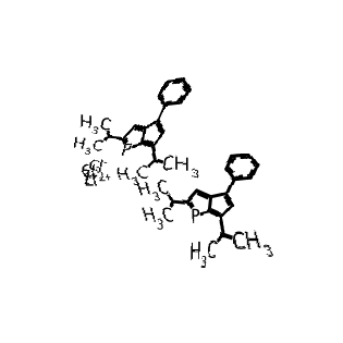 CC(C)C1=PC2=C(C(C)C)C=C(c3ccccc3)C2=C1.CC(C)C1=PC2=C(C(C)C)C=C(c3ccccc3)C2=C1.[Cl-].[Cl-].[Zr+2]